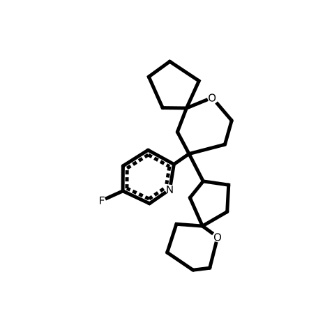 Fc1ccc(C2(C3CCC4(CCCCO4)C3)CCOC3(CCCC3)C2)nc1